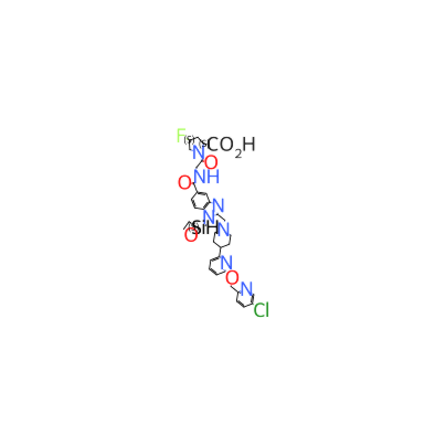 O=C(NCC(=O)N1C[C@@H](F)C[C@H]1C(=O)O)c1ccc2c(c1)nc(CN1CCC(c3cccc(OCc4ccc(Cl)cn4)n3)CC1)n2C[Si@@H]1CCO1